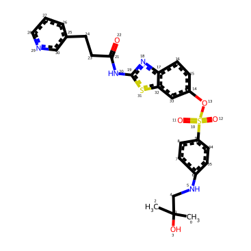 CC(C)(O)CNc1ccc(S(=O)(=O)Oc2ccc3nc(NC(=O)CCc4cccnc4)sc3c2)cc1